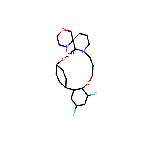 FC1CC(F)C2OCCCN3CCC[C@]4(COCCN4)[C@H]3COC3CCC(CC3)C2C1